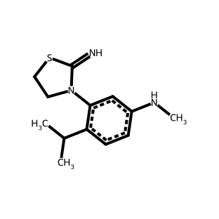 CNc1ccc(C(C)C)c(N2CCSC2=N)c1